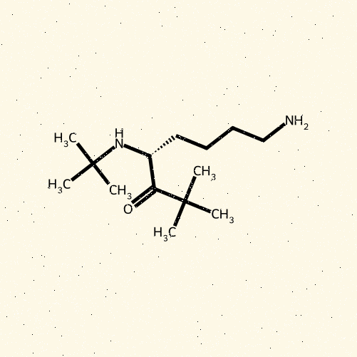 CC(C)(C)N[C@H](CCCCN)C(=O)C(C)(C)C